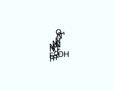 Cn1nc(-c2cc(C(F)(F)F)c(F)c(O)c2F)c2cnc(N3CCN(C(=O)C4CC4)CC3)nc21